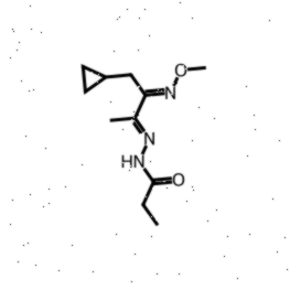 CCC(=O)N/N=C(C)/C(CC1CC1)=N/OC